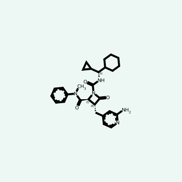 CN(C(=O)[C@@H]1[C@@H](Cc2ccnc(N)c2)C(=O)N1C(=O)N[C@@H](C1CCCCC1)C1CC1)c1ccccc1